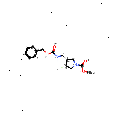 CC(C)(C)OC(=O)N1C[C@@H](CNC(=O)OCc2ccccc2)[C@@H](F)C1